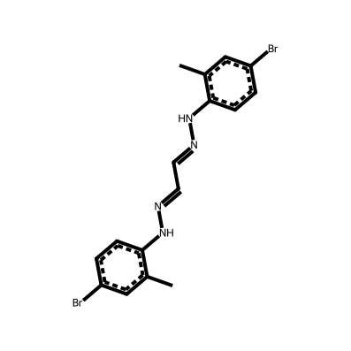 Cc1cc(Br)ccc1NN=CC=NNc1ccc(Br)cc1C